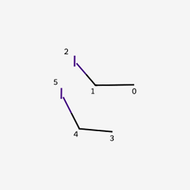 CCI.CCI